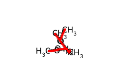 CCCCCCCCCCCC(CCCCCCCC)OOCCCCCCCCN(CCCCCCCC(=O)OCCCCCCCCC)CCN1CCN(C)CC1